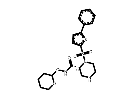 O=C(NOC1CCCCO1)[C@H]1CNCCN1S(=O)(=O)c1ccc(-c2ccccc2)s1